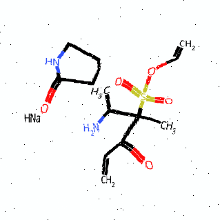 C=COS(=O)(=O)C(C)(C(=O)C=C)C(C)N.O=C1CCCN1.[NaH]